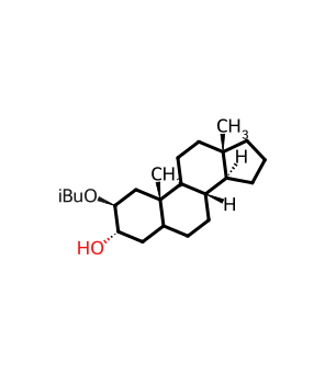 CC(C)CO[C@H]1C[C@@]2(C)C(CC[C@@H]3C2CC[C@]2(C)CCC[C@@H]32)C[C@@H]1O